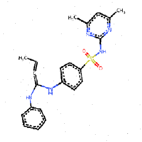 CC=C=C(Nc1ccccc1)Nc1ccc(S(=O)(=O)Nc2nc(C)cc(C)n2)cc1